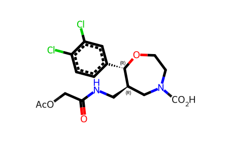 CC(=O)OCC(=O)NC[C@@H]1CN(C(=O)O)CCO[C@H]1c1ccc(Cl)c(Cl)c1